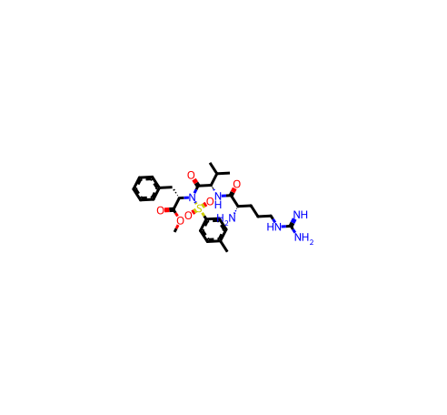 COC(=O)[C@H](Cc1ccccc1)N(C(=O)[C@@H](NC(=O)[C@@H](N)CCCNC(=N)N)C(C)C)S(=O)(=O)c1ccc(C)cc1